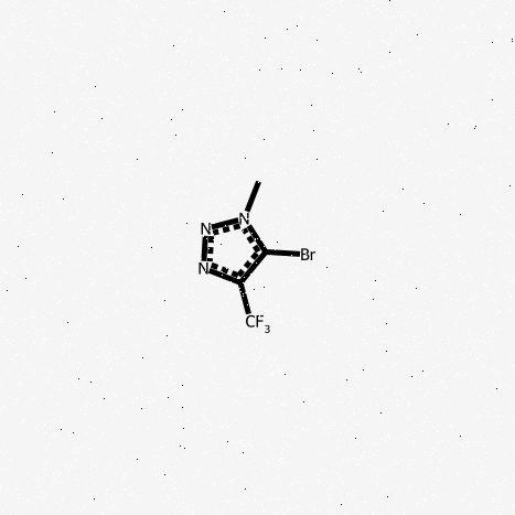 Cn1nnc(C(F)(F)F)c1Br